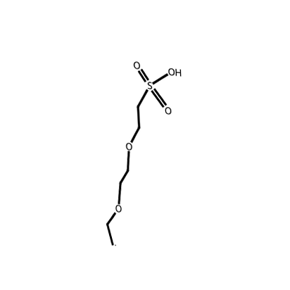 [CH2]COCCOCCS(=O)(=O)O